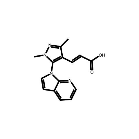 Cc1nn(C)c(-n2ccc3cccnc32)c1C=CC(=O)O